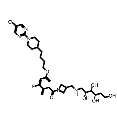 C=C(/C=C(/F)C(=C)CC(=O)N1CC(CNC[C@H](O)[C@@H](O)[C@H](O)CCO)C1)OCCCCC1CCN(c2ncc(Cl)cn2)CC1